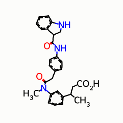 CC(CC(=O)O)c1cccc(N(C)C(=O)Cc2ccc(NC(=O)C3CNc4ccccc43)cc2)c1